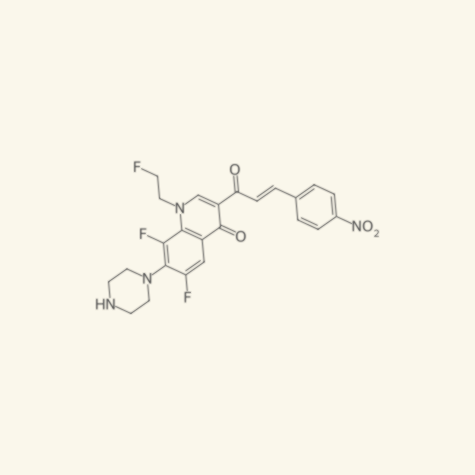 O=C(/C=C/c1ccc([N+](=O)[O-])cc1)c1cn(CCF)c2c(F)c(N3CCNCC3)c(F)cc2c1=O